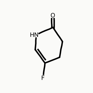 O=C1CCC(F)=CN1